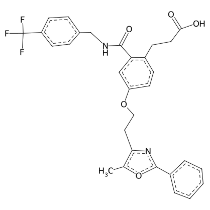 Cc1oc(-c2ccccc2)nc1CCOc1ccc(CCC(=O)O)c(C(=O)NCc2ccc(C(F)(F)F)cc2)c1